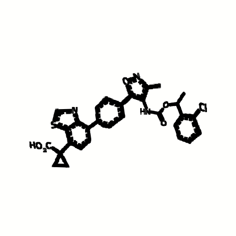 Cc1noc(-c2ccc(-c3ccc(C4(C(=O)O)CC4)c4scnc34)cc2)c1NC(=O)OC(C)c1ccccc1Cl